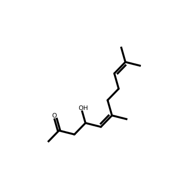 CC(=O)CC(O)C=C(C)CCC=C(C)C